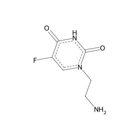 NCCn1cc(F)c(=O)[nH]c1=O